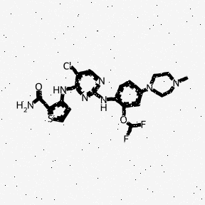 CN1CCN(c2ccc(Nc3ncc(Cl)c(Nc4ccsc4C(N)=O)n3)c(OC(F)F)c2)CC1